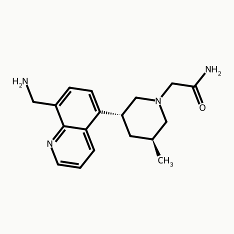 C[C@H]1C[C@H](c2ccc(CN)c3ncccc23)CN(CC(N)=O)C1